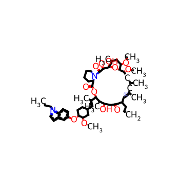 C=CCC1/C=C(\C)CC(C)CC(OC)C2OC(O)(C(=O)C(=O)N3CCCCC3C(=O)OC(C(C)=CC3CCC(Oc4ccc5c(ccn5CCC)c4)C(OC)C3)C(C)C(O)CC1=O)C(C)CC2OC